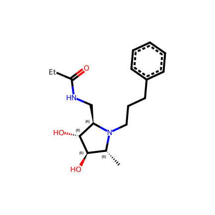 CCC(=O)NC[C@@H]1[C@@H](O)[C@H](O)[C@@H](C)N1CCCc1ccccc1